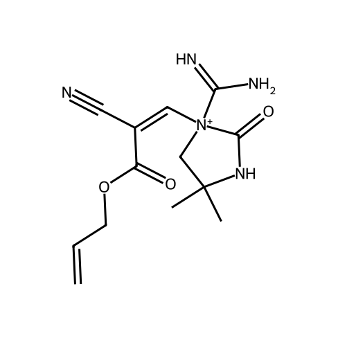 C=CCOC(=O)C(C#N)=C[N+]1(C(=N)N)CC(C)(C)NC1=O